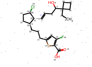 CCC1(C(O)C/C=C/[C@@H]2[C@@H](CCCc3cc(F)c(C(=O)O)s3)CC[C@H]2Cl)CCC1